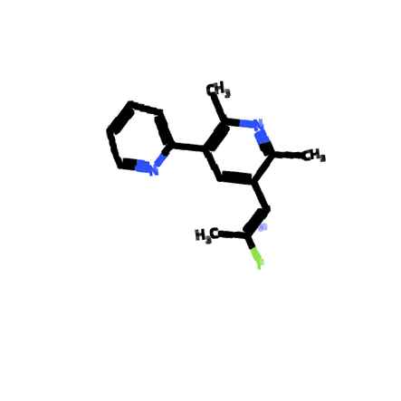 C/C(F)=C\c1cc(-c2ccccn2)c(C)nc1C